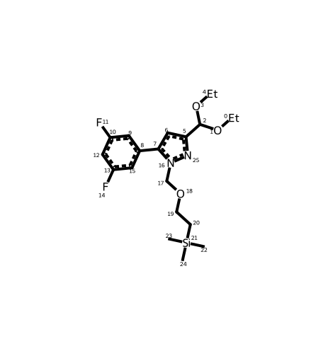 CCOC(OCC)c1cc(-c2cc(F)cc(F)c2)n(COCC[Si](C)(C)C)n1